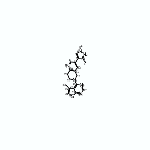 Cc1nn(C)cc1-c1cnc2c(c1)CN(c1ncnc3scc(C)c13)CC2